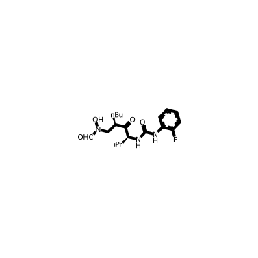 CCCC[C@H](CN(O)C=O)C(=O)[C@@H](NC(=O)Nc1ccccc1F)C(C)C